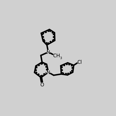 CN(Cc1ccc(=O)n(Cc2ccc(Cl)cc2)c1)c1ccccc1